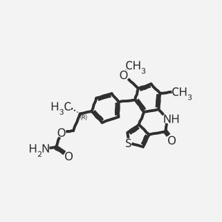 COc1cc(C)c2[nH]c(=O)c3cscc3c2c1-c1ccc([C@@H](C)COC(N)=O)cc1